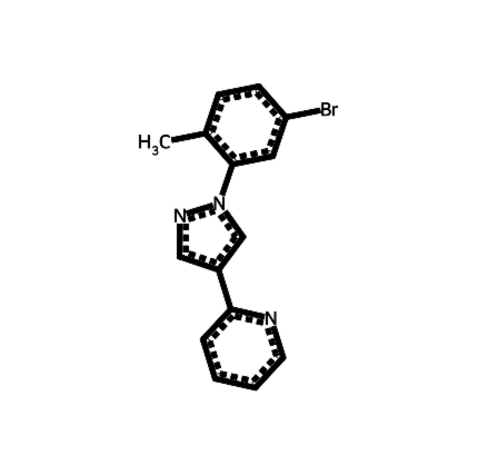 Cc1ccc(Br)cc1-n1cc(-c2ccccn2)cn1